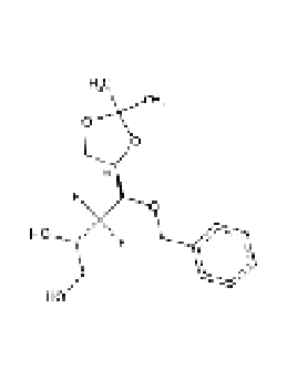 CC1(C)OC[C@H](C(OCc2ccccc2)C(F)(F)C(O)CO)O1